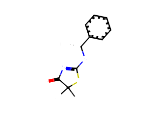 CC(C)C1(C)SC(N[C@H](C)c2ccccc2)=NC1=O